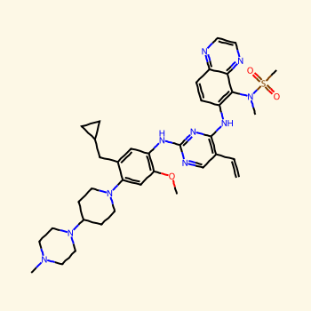 C=Cc1cnc(Nc2cc(CC3CC3)c(N3CCC(N4CCN(C)CC4)CC3)cc2OC)nc1Nc1ccc2nccnc2c1N(C)S(C)(=O)=O